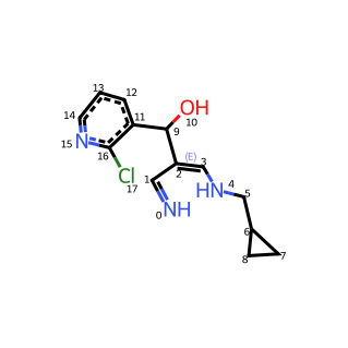 N=C/C(=C\NCC1CC1)C(O)c1cccnc1Cl